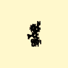 CC(C)(CC1CC(C2CC2)CN(c2ccc(C#N)c3nccnc23)C1)NC(=O)O